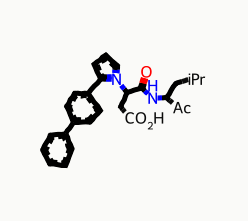 CC(=O)C(CC(C)C)NC(=O)C(CC(=O)O)n1cccc1-c1ccc(-c2ccccc2)cc1